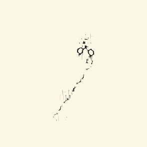 CC(=O)NCCOCCOCCNC(=O)NCCOCCOCCOCCN1CCN(c2cccc(-c3nc(NC(=N)N)nc4ccc(Cl)cc34)c2)CC1